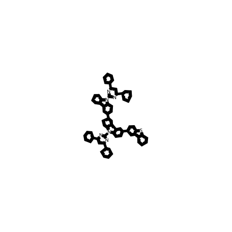 c1ccc(-c2cc(-c3ccccc3)nc(-n3c4ccccc4c4cc(-c5ccc6c(c5)c5cc(-c7ccc8sc9ccccc9c8c7)ccc5n6-c5nc(-c6ccccc6)cc(-c6ccccc6)n5)ccc43)n2)cc1